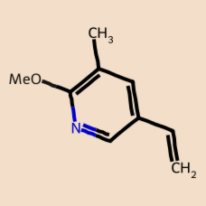 C=Cc1cnc(OC)c(C)c1